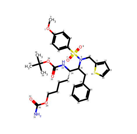 COc1ccc(S(=O)(=O)N(Cc2cccs2)C(Cc2ccccc2)[C@H](CCCCOC(N)=O)NC(=O)OC(C)(C)C)cc1